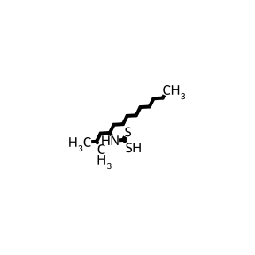 CCCCCCCCCC(CC(C)C)NC(=S)S